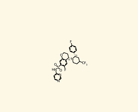 O=S(=O)(Nc1ccncn1)c1cc2c(cc1F)[C@@H](N1CCC(C(F)(F)F)C[C@H]1c1ccc(F)cc1)CCO2